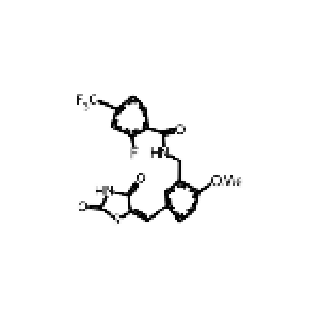 COc1ccc(C=C2SC(=O)NC2=O)cc1CNC(=O)c1ccc(C(F)(F)F)cc1F